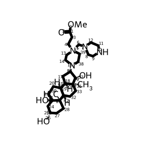 COC(=O)CC[N+]1(CN2CCNCC2)CCN([C@H]2C[C@H]3[C@@H]4CC[C@@]5(O)C[C@@H](O)CC[C@]5(C)[C@H]4CC[C@]3(C)[C@H]2O)CC1